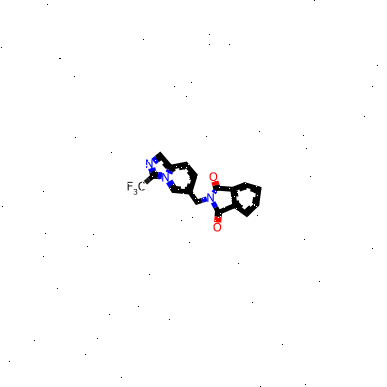 O=C1c2ccccc2C(=O)N1Cc1ccc2cnc(C(F)(F)F)n2c1